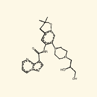 CC1(C)Cc2cc(NC(=O)c3cnn4cccnc34)c(N3CCN(CC(O)CO)CC3)cc2O1